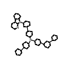 c1ccc(-c2ccc(N(c3ccc(-c4cccc(-c5ccccc5)c4)cc3)c3ccc(-c4cccc(-n5c6ccccc6c6cccnc65)c4)cc3)cc2)cc1